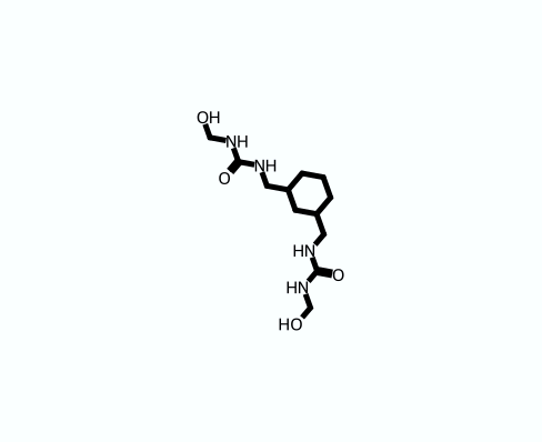 O=C(NCO)NCC1CCCC(CNC(=O)NCO)C1